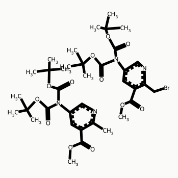 COC(=O)c1cc(N(C(=O)OC(C)(C)C)C(=O)OC(C)(C)C)cnc1C.COC(=O)c1cc(N(C(=O)OC(C)(C)C)C(=O)OC(C)(C)C)cnc1CBr